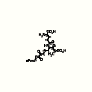 CCCCCOC(=O)C(=O)CSCC(NC(=O)CCC(N)C(=O)O)C(=O)N(C)C(=O)O